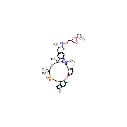 C[C@@H](Cc1cccc(C2(C)CCCC(C)(C)CS(=O)(=O)CCc3c(c(F)cc4[nH]ccc34)Oc3ccc(F)c(c3)-c3nc2nn3C)c1)C(=O)NOCC1COC(C)(C)O1